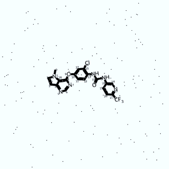 Cn1ccc2ncnc(Oc3ccc(NC(=O)Nc4ccc(C(F)(F)F)nc4)c(Cl)c3)c21